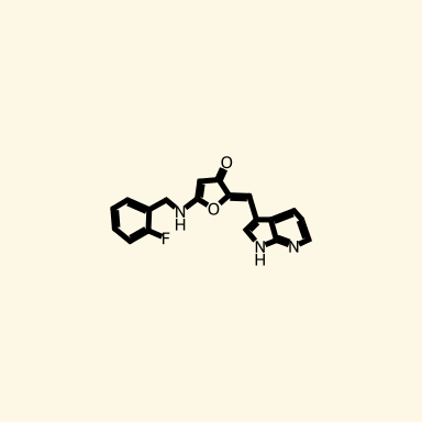 O=C1C=C(NCc2ccccc2F)OC1=Cc1c[nH]c2ncccc12